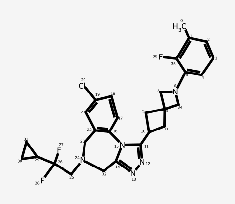 Cc1cccc(N2CC3(CC(c4nnc5n4-c4ccc(Cl)cc4CN(CC(F)(F)C4CC4)C5)C3)C2)c1F